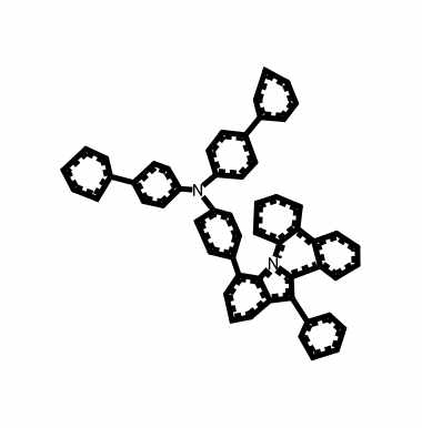 c1ccc(-c2ccc(N(c3ccc(-c4ccccc4)cc3)c3ccc(-c4cccc5c(-c6ccccc6)c6c7ccccc7c7ccccc7n6c45)cc3)cc2)cc1